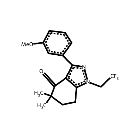 COc1cccc(-c2nn(CC(F)(F)F)c3c2C(=O)C(C)(C)CC3)c1